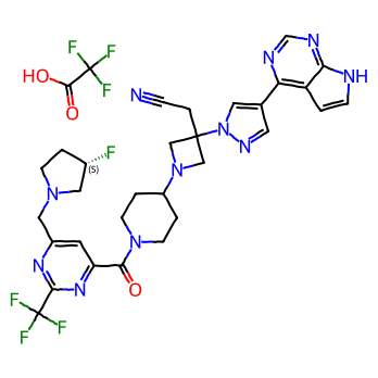 N#CCC1(n2cc(-c3ncnc4[nH]ccc34)cn2)CN(C2CCN(C(=O)c3cc(CN4CC[C@H](F)C4)nc(C(F)(F)F)n3)CC2)C1.O=C(O)C(F)(F)F